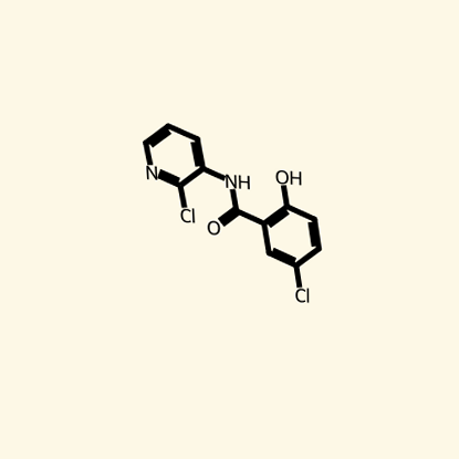 O=C(Nc1cccnc1Cl)c1cc(Cl)ccc1O